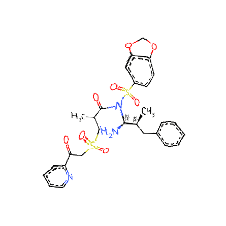 CC(CS(=O)(=O)CC(=O)c1ccccn1)C(=O)N([C@H](N)[C@@H](C)Cc1ccccc1)S(=O)(=O)c1ccc2c(c1)OCO2